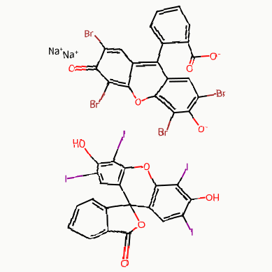 O=C([O-])c1ccccc1-c1c2cc(Br)c(=O)c(Br)c-2oc2c(Br)c([O-])c(Br)cc12.O=C1OC2(c3ccccc31)c1cc(I)c(O)c(I)c1Oc1c2cc(I)c(O)c1I.[Na+].[Na+]